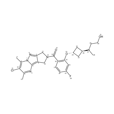 Cc1nc2c3c(nn2c(C)c1Cl)CN(C(=O)c1ccc(F)cc1O[C@H]1C[C@H](N(C)CCO)C1)C3